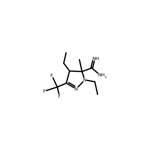 CCC1C(C(F)(F)F)=NN(CC)C1(C)C(=N)N